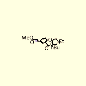 CCCCN1C(=O)c2cc(/C=C/C(=O)OC)ccc2OC12CCN(CC)CC2